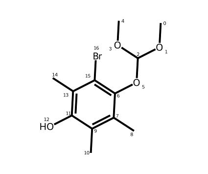 COC(OC)Oc1c(C)c(C)c(O)c(C)c1Br